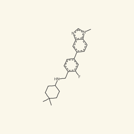 Cn1cnc2cc(-c3ccc(CNC4CCC(C)(C)CC4)c(F)c3)ccc21